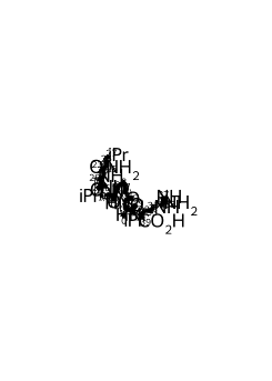 CC(C)C[C@H](NC(=O)[C@@H]1CCCN1C(=O)[C@H](CC(C)C)NC(=O)[C@H](C)NC(=O)[C@@H](N)CC(C)C)C(=O)N[C@@H](CCCNC(=N)N)C(=O)O